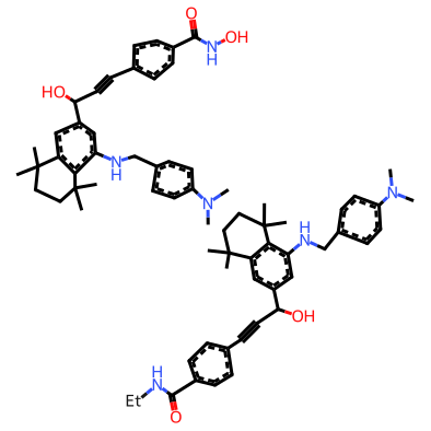 CCNC(=O)c1ccc(C#CC(O)c2cc(NCc3ccc(N(C)C)cc3)c3c(c2)C(C)(C)CCC3(C)C)cc1.CN(C)c1ccc(CNc2cc(C(O)C#Cc3ccc(C(=O)NO)cc3)cc3c2C(C)(C)CCC3(C)C)cc1